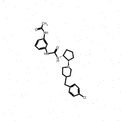 CC(=O)Nc1cccc(NC(=O)N[C@@H]2CCC[C@H]2N2CCC(Cc3ccc(Cl)cc3)CC2)c1